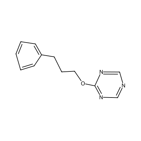 c1ccc(CCCOc2ncncn2)cc1